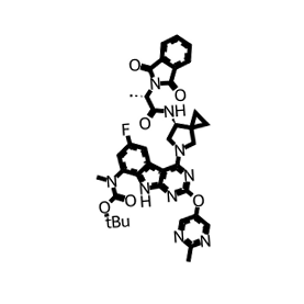 Cc1ncc(Oc2nc(N3C[C@H](NC(=O)[C@H](C)N4C(=O)c5ccccc5C4=O)C4(CC4)C3)c3c(n2)[nH]c2c(N(C)C(=O)OC(C)(C)C)cc(F)cc23)cn1